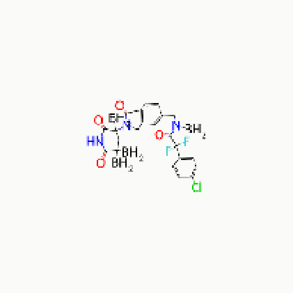 BN(Cc1ccc2c(c1)CN(C1(B)CC(B)(B)C(=O)NC1=O)C2=O)C(=O)C(F)(F)c1ccc(Cl)cc1